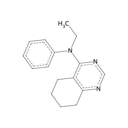 CCN(c1ccccc1)c1ncnc2c1CCCC2